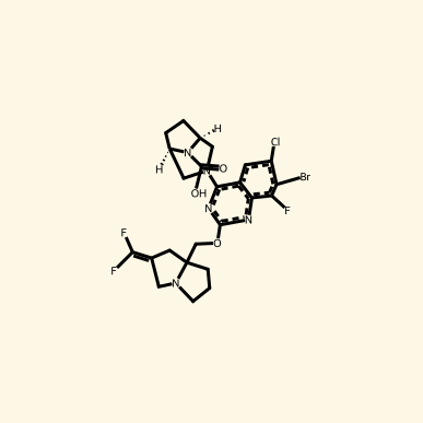 O=C(O)N1[C@@H]2CC[C@H]1CN(c1nc(OCC34CCCN3CC(=C(F)F)C4)nc3c(F)c(Br)c(Cl)cc13)C2